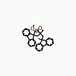 COC(=O)C1(CC2(CC3(C)c4ccccc4-c4ccccc43)COC2)c2ccccc2-c2ccccc21